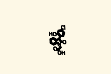 O=C(O)CN1C(=O)C(c2ccc(Cl)cc2O)c2ccccc21